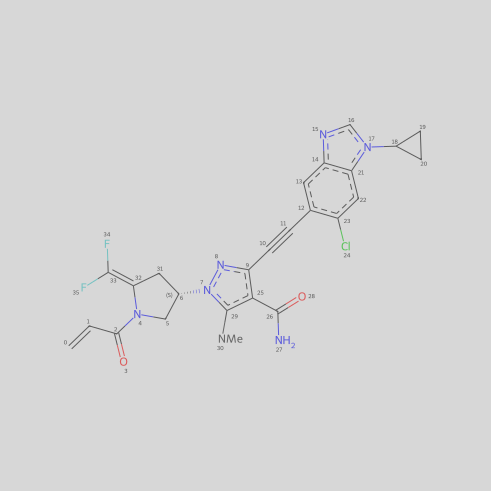 C=CC(=O)N1C[C@@H](n2nc(C#Cc3cc4ncn(C5CC5)c4cc3Cl)c(C(N)=O)c2NC)CC1=C(F)F